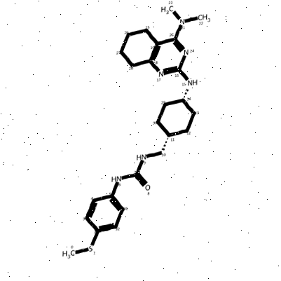 CSc1ccc(NC(=O)NC[C@H]2CC[C@@H](Nc3nc4c(c(N(C)C)n3)CCCC4)CC2)cc1